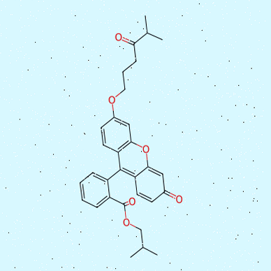 CC(C)COC(=O)c1ccccc1-c1c2ccc(=O)cc-2oc2cc(OCCCC(=O)C(C)C)ccc12